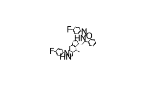 C[C@H]1C2=CNN(c3ccc(F)cc3)C2=CC2=C1[C@@H](CC(NC(=O)N(C)c1ccc(F)cc1)c1ccccc1)CC2